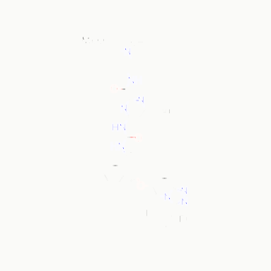 CCC(C)(C)c1nnc2ccc(O[C@@H]3CC[C@H](NC(=O)Nc4cc(C(C)(C)C)nc(C(=O)NCCN(C)CCOC)n4)c4ccccc43)cn12